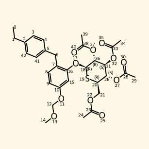 CCc1ccc(Cc2ccc(OCOC)cc2O[C@@H]2S[C@H](COC(C)=O)[C@@H](OC(C)=O)[C@H](OC(C)=O)[C@H]2OC(C)=O)cc1